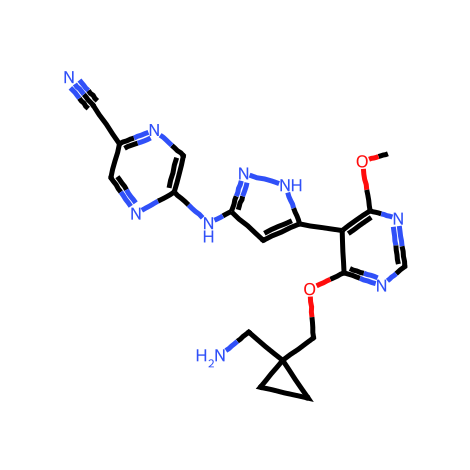 COc1ncnc(OCC2(CN)CC2)c1-c1cc(Nc2cnc(C#N)cn2)n[nH]1